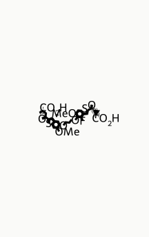 COc1cc2sc(C(=O)C[C@H](C)C(=O)O)cc2cc1OCCCOc1c(OC)cc2sc(C(=O)[C@@H]3C[C@H]3C(=O)O)cc2c1F